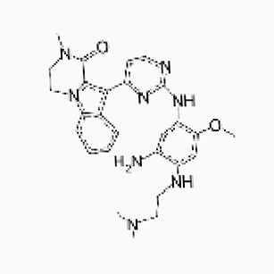 COc1cc(NCCN(C)C)c(N)cc1Nc1nccc(-c2c3n(c4ccccc24)CCN(C)C3=O)n1